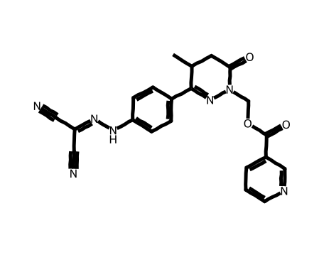 CC1CC(=O)N(COC(=O)c2cccnc2)N=C1c1ccc(NN=C(C#N)C#N)cc1